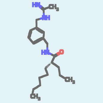 CCCCCC[C@@H](CCC)C(=O)NCc1cccc(CNC(C)=N)c1